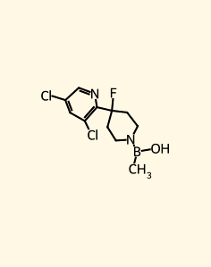 CB(O)N1CCC(F)(c2ncc(Cl)cc2Cl)CC1